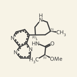 CO[C@@H](C)C(=O)N[C@]1(c2ccnc3nccnc23)CNC[C@@H](C)C1